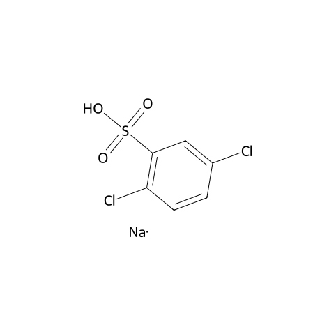 O=S(=O)(O)c1cc(Cl)ccc1Cl.[Na]